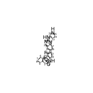 O=S(=O)(Cc1ccccc1)Nc1ccc(-c2ccc3nc(N[C@H]4CCCNC4)ncc3c2)c(F)c1F